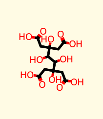 O=C(O)CC(O)(CC(=O)O)C(O)C(O)C(O)(CC(=O)O)CC(=O)O